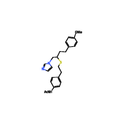 COc1ccc(CCC(Cn2ccnc2)SCCc2ccc(NC(C)=O)cc2)cc1